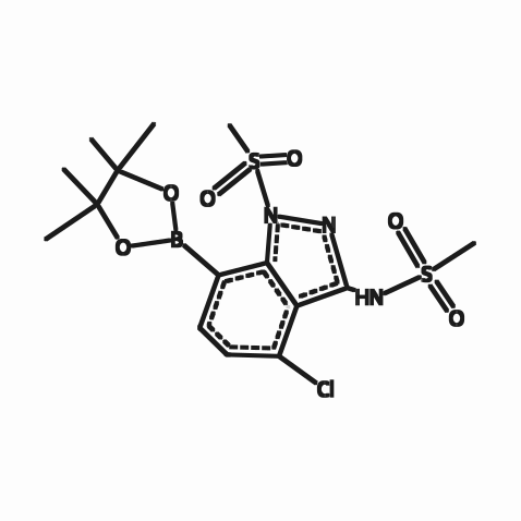 CC1(C)OB(c2ccc(Cl)c3c(NS(C)(=O)=O)nn(S(C)(=O)=O)c23)OC1(C)C